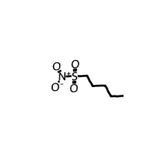 CCCCCS(=O)(=O)[N+](=O)[O-]